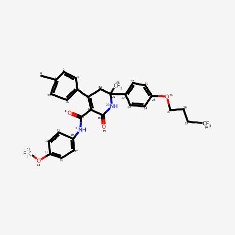 Cc1ccc(C2=C(C(=O)Nc3ccc(OC(F)(F)F)cc3)C(=O)NC(c3ccc(OCCCC(F)(F)F)cc3)(C(F)(F)F)C2)cc1